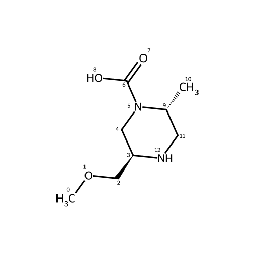 COC[C@H]1CN(C(=O)O)[C@H](C)CN1